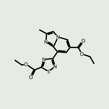 CCOC(=O)c1cc(-c2nsc(C(=O)OCC)n2)c2nc(C)cn2c1